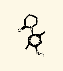 Cc1cc(N2CCCCC2=O)c(C)cc1N